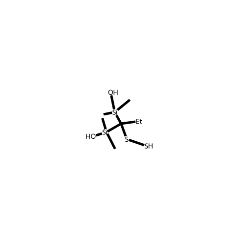 CCC(SS)([Si](C)(C)O)[Si](C)(C)O